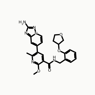 COc1nc(C)c(-c2ccn3nc(N)nc3c2)cc1C(=O)NCc1ccccc1OC1CCOC1